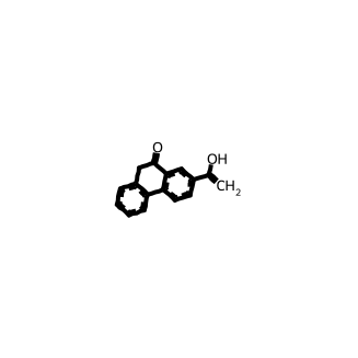 C=C(O)c1ccc2c(c1)C(=O)Cc1ccccc1-2